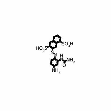 NC(=O)Nc1cc(N)ccc1/N=N/c1cc2c(S(=O)(=O)O)cccc2cc1S(=O)(=O)O